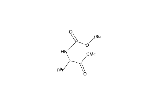 CCCC(NC(=O)OC(C)(C)C)C(=O)OC